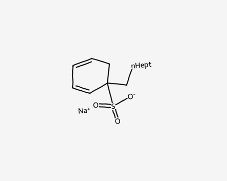 CCCCCCCCC1(S(=O)(=O)[O-])C=CC=CC1.[Na+]